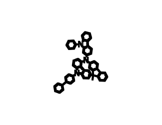 CC1(C)c2ccccc2-c2ccc(N(c3ccc4c5ccccc5n(-c5ccccc5)c4c3)c3cccc4c3c3ccccc3n4-c3ccc(-c4ccccc4)cc3)cc21